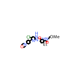 CCc1ccc(Oc2nc3nc(-c4ccc(N5CCOCC5)cc4)c(Cl)cc3[nH]2)cc1C(=O)NCCOC